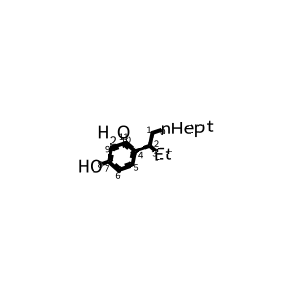 CCCCCCCCC(CC)c1ccc(O)cc1.O